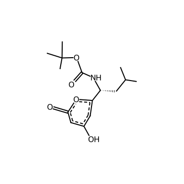 CC(C)C[C@@H](NC(=O)OC(C)(C)C)c1cc(O)cc(=O)o1